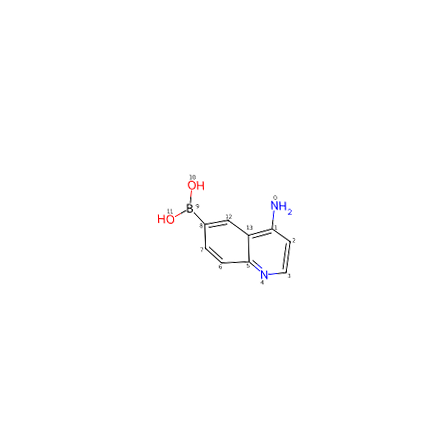 Nc1ccnc2ccc(B(O)O)cc12